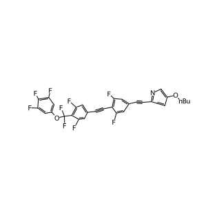 CCCCOc1ccc(C#Cc2cc(F)c(C#Cc3cc(F)c(C(F)(F)Oc4cc(F)c(F)c(F)c4)c(F)c3)c(F)c2)nc1